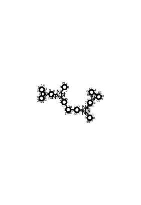 c1ccc(C2=NC(c3ccc(-n4c5ccccc5c5ccccc54)cc3)NC(c3ccc(-c4cccc(-c5ccc(-c6nc(-c7ccccc7)nc(-c7ccc(-n8c9ccccc9c9ccccc98)cc7)n6)cc5)c4)cc3)=N2)cc1